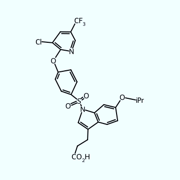 CC(C)Oc1ccc2c(CCC(=O)O)cn(S(=O)(=O)c3ccc(Oc4ncc(C(F)(F)F)cc4Cl)cc3)c2c1